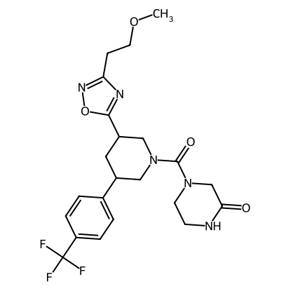 COCCc1noc(C2CC(c3ccc(C(F)(F)F)cc3)CN(C(=O)N3CCNC(=O)C3)C2)n1